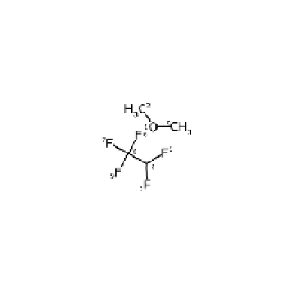 COC.FC(F)C(F)(F)F